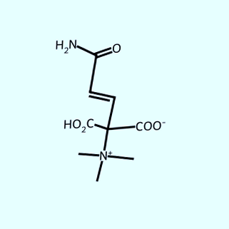 C[N+](C)(C)C(C=CC(N)=O)(C(=O)[O-])C(=O)O